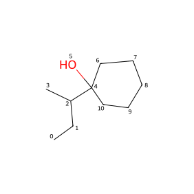 CCC(C)C1(O)CCCCC1